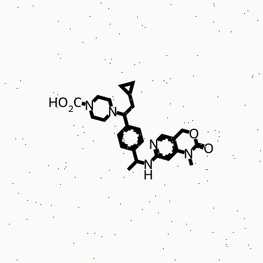 CC(Nc1cc2c(cn1)COC(=O)N2C)c1ccc(C(CC2CC2)N2CCN(C(=O)O)CC2)cc1